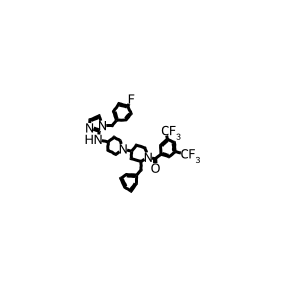 O=C(c1cc(C(F)(F)F)cc(C(F)(F)F)c1)N1CCC(N2CCC(Nc3nccn3Cc3ccc(F)cc3)CC2)CC1Cc1ccccc1